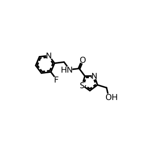 O=C(NCc1ncccc1F)c1nc(CO)cs1